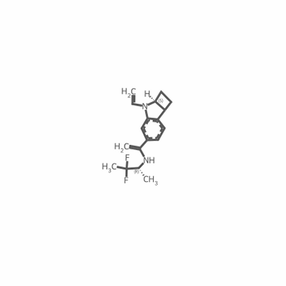 C=CN1c2cc(C(=C)N[C@H](C)C(C)(F)F)ccc2C2CC[C@@H]21